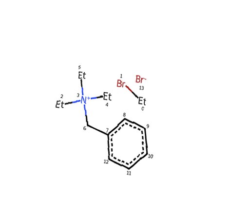 CCBr.CC[N+](CC)(CC)Cc1ccccc1.[Br-]